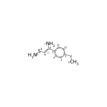 CCc1ccc(/C(N)=C/SN)cc1